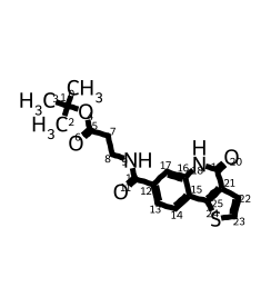 CC(C)(C)OC(=O)CCNC(=O)c1ccc2c(c1)[nH]c(=O)c1ccsc12